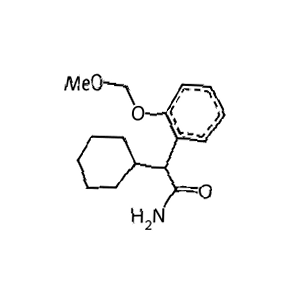 COCOc1ccccc1C(C(N)=O)C1CCCCC1